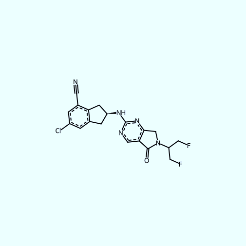 N#Cc1cc(Cl)cc2c1C[C@@H](Nc1ncc3c(n1)CN(C(CF)CF)C3=O)C2